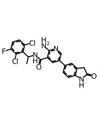 CC(NC(=O)c1cc(-c2ccc3c(c2)CC(=O)N3)cnc1N)c1c(Cl)ccc(F)c1Cl